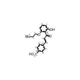 CC(C)(C)CCOc1cccc(O)c1C(=O)/C=C/c1ccc(C(=O)O)cc1